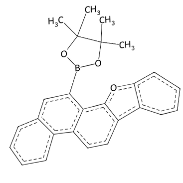 CC1(C)OB(c2cc3ccccc3c3ccc4c5ccccc5oc4c23)OC1(C)C